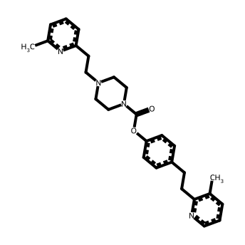 Cc1cccc(CCN2CCN(C(=O)Oc3ccc(CCc4ncccc4C)cc3)CC2)n1